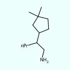 CCCC(CN)C1CCC(C)(C)C1